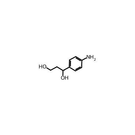 Nc1ccc([C](O)CCO)cc1